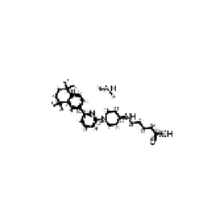 CC1(C)CCC(C)(C)c2cc(-c3cccc(N4CCC(NCCCCC(=O)O)CC4)n3)ccc21.CNC